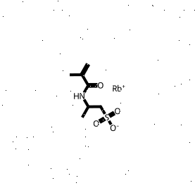 C=C(C)C(=O)NC(C)CS(=O)(=O)[O-].[Rb+]